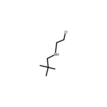 CC(C)(C)CNCCCl